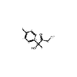 Cc1ccc(C(C)(O)C(=O)CCl)cc1